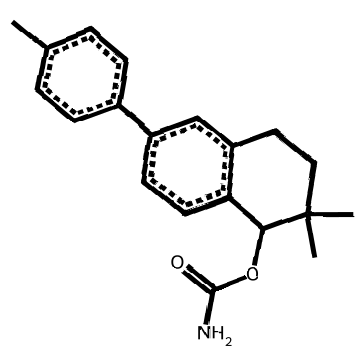 Cc1ccc(-c2ccc3c(c2)CCC(C)(C)C3OC(N)=O)cc1